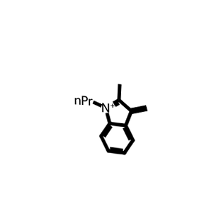 C=C1C(C)=[N+](CCC)c2ccccc21